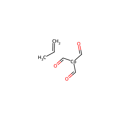 C=CC.O=[CH][Co]([CH]=O)[CH]=O